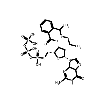 CCSSC(C)c1ccccc1C(=O)O[C@@H]1C[C@H](N2C=NC3C(=O)NC(N)=NC32)O[C@@H]1COP(=O)(O)OP(=O)(O)OP(=O)(O)O